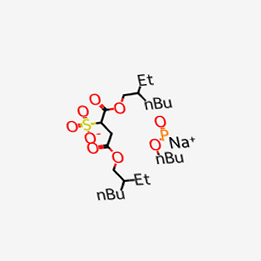 CCCCC(CC)COC(=O)CC(C(=O)OCC(CC)CCCC)S(=O)(=O)[O-].CCCCOP=O.[Na+]